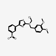 COc1ccc(CN(CCl)c2nc(-c3cccc([N+](=O)[O-])c3)cs2)cc1OC